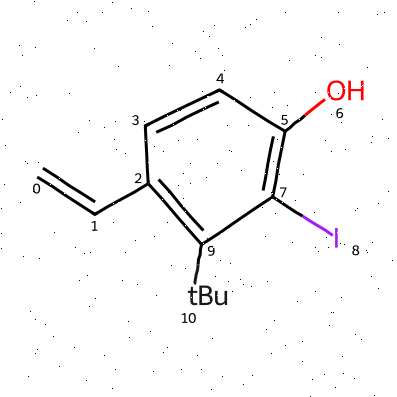 C=Cc1ccc(O)c(I)c1C(C)(C)C